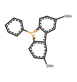 CSc1ccc2c(c1)c1cc(SC)ccc1p2-c1ccccc1